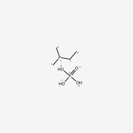 CCP(C)C.O=P(O)(O)O